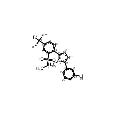 CCS(=O)(=O)c1cc(C(F)(F)F)cnc1-c1nnc(-c2cccc(Cl)c2)n1C